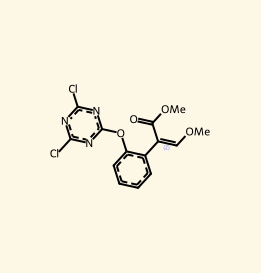 CO/C=C(\C(=O)OC)c1ccccc1Oc1nc(Cl)nc(Cl)n1